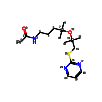 CC(C)C(=O)NCCC[Si](C)(C)O[Si](C)(C)CSc1ncccn1